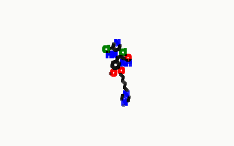 COc1ccc2c(Nc3c(Cl)cncc3Cl)cc(=O)[nH]c2c1OCCCCCCN1CCN(C)CC1